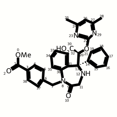 COC(=O)c1ccc(CN2C(=O)CN[C@](c3ccccc3)([C@H](Oc3nc(C)cc(C)n3)C(=O)O)c3ccccc32)cc1